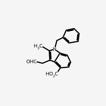 Cc1c(CC=O)c2c(C(=O)O)cccc2n1Cc1ccccc1